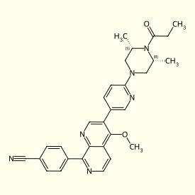 CCC(=O)N1[C@H](C)CN(c2ccc(-c3cnc4c(-c5ccc(C#N)cc5)nccc4c3OC)cn2)C[C@@H]1C